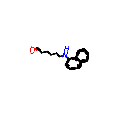 O=CCCCCCNc1cccc2ccccc12